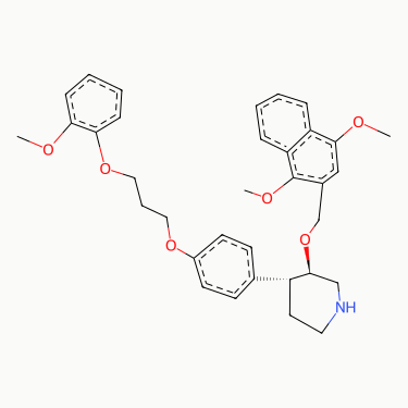 COc1ccccc1OCCCOc1ccc([C@H]2CCNC[C@@H]2OCc2cc(OC)c3ccccc3c2OC)cc1